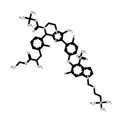 CCOC(=O)C(C)Cc1cccc(C2c3nc(-c4cc(Oc5c(F)cc6c(ccn6COCC[Si](C)(C)C)c5S(C)(=O)=O)ccc4F)c(C)n3CCN2C(=O)OC(C)(C)C)c1F